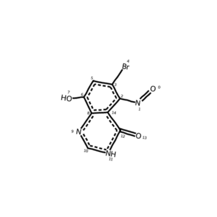 O=Nc1c(Br)cc(O)c2nc[nH]c(=O)c12